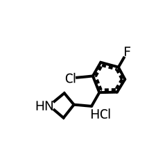 Cl.Fc1ccc(CC2CNC2)c(Cl)c1